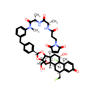 C[C@H](NC(=O)CCN1C(=O)C=CC1=O)C(=O)N[C@@H](C)C(=O)N(C)c1cccc(Cc2ccc([C@@H]3O[C@@H]4C[C@H]5[C@@H]6C[C@H](CF)C7=CC(=O)C=C[C@]7(C)[C@@]6(F)[C@@H](O)C[C@]5(C)[C@]4(C(=O)CO)O3)cc2)c1